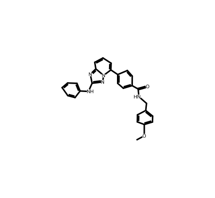 COc1ccc(CNC(=O)c2ccc(-c3cccc4nc(Nc5ccccc5)nn34)cc2)cc1